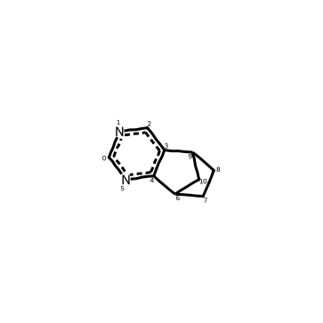 c1ncc2c(n1)C1CCC2C1